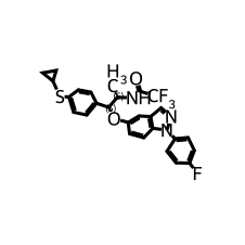 C[C@H](NC(=O)C(F)(F)F)[C@@H](Oc1ccc2c(cnn2-c2ccc(F)cc2)c1)c1ccc(SC2CC2)cc1